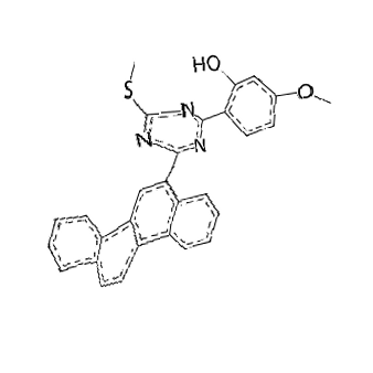 COc1ccc(-c2nc(SC)nc(-c3cc4c5ccccc5ccc4c4ccccc34)n2)c(O)c1